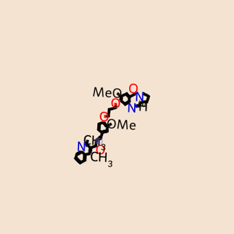 COc1cc(/C=C/C(=O)c2c(C)nc3ccccc3c2C)ccc1OCCCOc1cc2c(cc1OC)C(=O)N1CCC[C@H]1C=N2